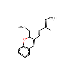 CCCCCCCCCCCC1Oc2ccccc2C=C1/C=C/C(C)=C/C(=O)O